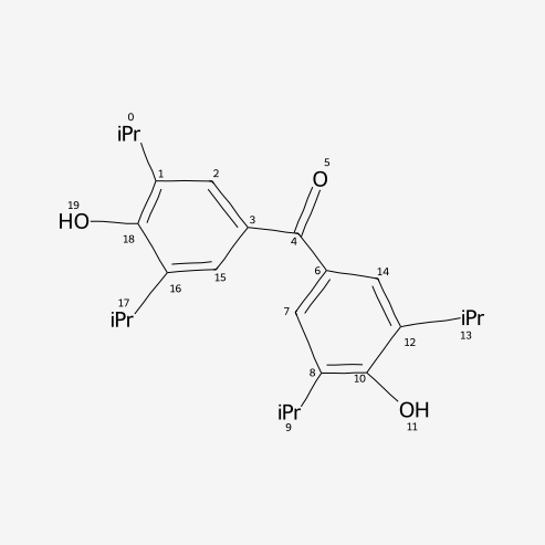 CC(C)c1cc(C(=O)c2cc(C(C)C)c(O)c(C(C)C)c2)cc(C(C)C)c1O